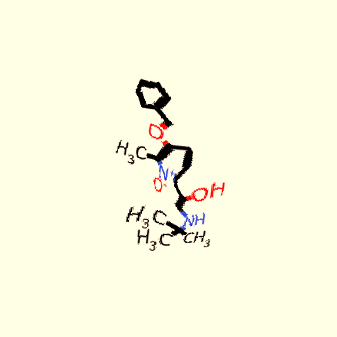 Cc1c(OCc2ccccc2)ccc(C(O)CNC(C)(C)C)[n+]1[O-]